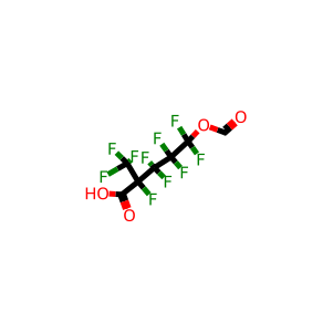 O=COC(F)(F)C(F)(F)C(F)(F)C(F)(C(=O)O)C(F)(F)F